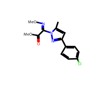 CO/N=C(\C(=O)OC)n1nc(-c2ccc(Cl)cc2)cc1C